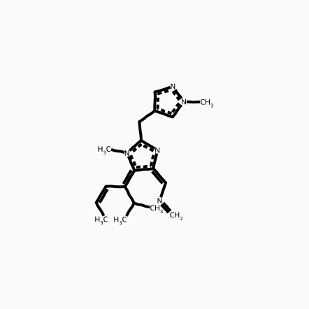 C=N/C=c1/nc(Cc2cnn(C)c2)n(C)/c1=C(\C=C/C)C(C)C